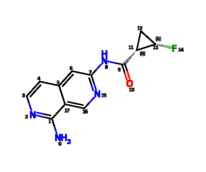 Nc1nccc2cc(NC(=O)[C@@H]3C[C@@H]3F)ncc12